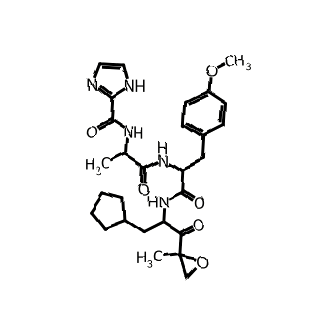 COc1ccc(CC(NC(=O)C(C)NC(=O)c2ncc[nH]2)C(=O)NC(CC2CCCC2)C(=O)C2(C)CO2)cc1